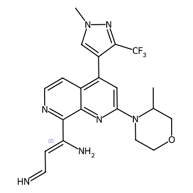 CC1COCCN1c1cc(-c2cn(C)nc2C(F)(F)F)c2ccnc(/C(N)=C/C=N)c2n1